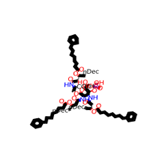 CCCCCCCCCCC[C@H](CC(=O)NC1C(NC(=O)C[C@@H](CCCCCCCCCCC)OC(=O)CCCCCCCc2ccccc2)[C@H](OP(=O)(O)O)C(CO)O[C@H]1OC[C@H](NC(=O)C[C@@H](CCCCCCCCCCC)OC(=O)CCCCCCCc1ccccc1)C(=O)O)OC(=O)CCCCCCCc1ccccc1